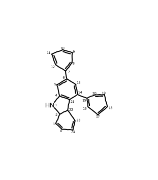 C1=CC2Nc3cc(-c4ccccc4)cc(-c4ccccc4)c3C2C=C1